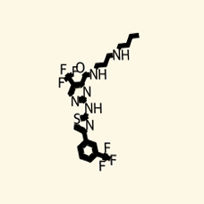 CCCCNCCCNC(=O)c1nc(Nc2nc(-c3cccc(C(F)(F)F)c3)cs2)ncc1C(F)(F)F